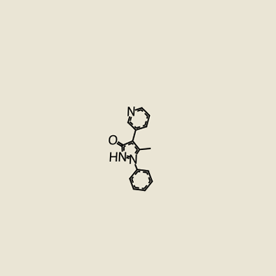 Cc1c(-c2cccnc2)c(=O)[nH]n1-c1ccccc1